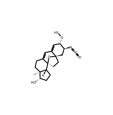 C[C@]12CCC3=CC4=C[C@H](OS)[C@@H](N=[N+]=[N-])C[C@]45CC[C@]3(O5)[C@@H]1CC[C@@H]2O